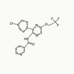 O=C(Nc1ncc(OCC(F)(F)F)nc1-c1ccc(Cl)cc1)c1cccnc1